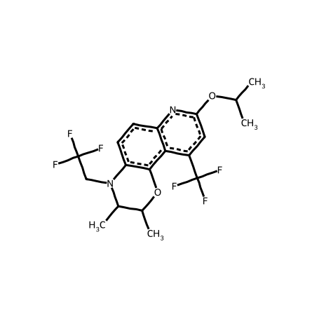 CC(C)Oc1cc(C(F)(F)F)c2c3c(ccc2n1)N(CC(F)(F)F)C(C)C(C)O3